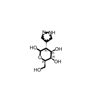 OC[C@H]1OC(O)[C@H](c2cn[nH]c2)[C@@H](O)[C@H]1O